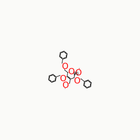 COCC1=C(OCc2ccccc2)C(COCc2ccccc2)O[C@@H](OC)C1OCc1ccccc1